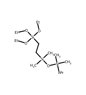 CCC[Si](C)(C)O[Si](C)(C)CC[Si](OCC)(OCC)OCC